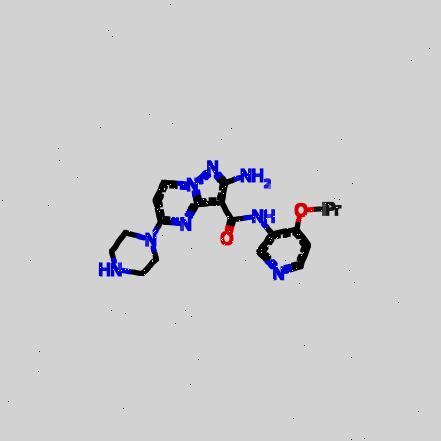 CC(C)Oc1ccncc1NC(=O)c1c(N)nn2ccc(N3CCNCC3)nc12